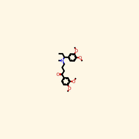 CCC(c1ccc(OC)c(OC)c1)N(C)CCCC(=O)c1ccc(OC)c(OC)c1